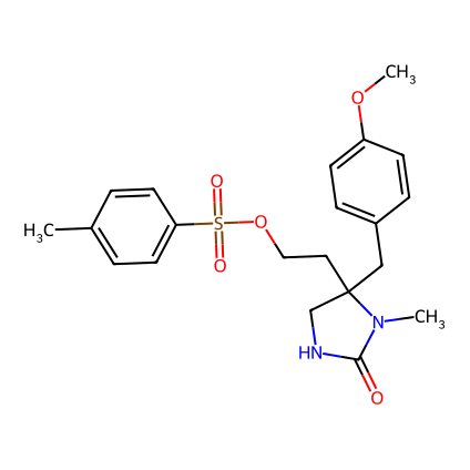 COc1ccc(CC2(CCOS(=O)(=O)c3ccc(C)cc3)CNC(=O)N2C)cc1